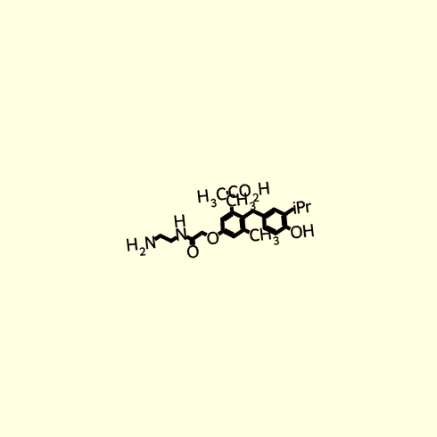 CC(=O)O.Cc1cc(OCC(=O)NCCN)cc(C)c1Cc1ccc(O)c(C(C)C)c1